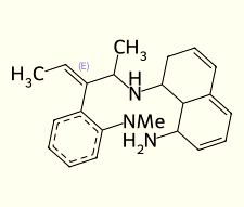 C/C=C(\c1ccccc1NC)C(C)NC1CC=CC2=CC=CC(N)C21